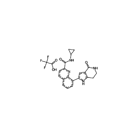 O=C(NC1CC1)c1ccc2cccc(-c3cc4c([nH]3)CCNC4=O)c2n1.O=C(O)C(F)(F)F